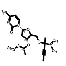 CC#CC(C)(OCC1O[C@@H](n2ccc(N)nc2=O)C[C@H]1O[C@@H](C)SSC)P(O)O